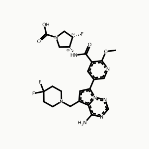 COc1ncc(-c2cc(CN3CCC(F)(F)CC3)c3c(N)ncnn23)cc1C(=O)N[C@@H]1CN(C(=O)O)C[C@@H]1F